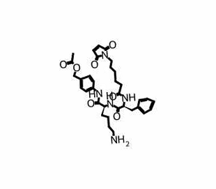 CC(=O)OCc1ccc(NC(=O)[C@H](CCCCN)NC(=O)[C@H](Cc2ccccc2)NC(=O)CCCCCN2C(=O)C=CC2=O)cc1